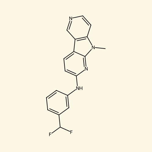 Cn1c2ccncc2c2ccc(Nc3cccc(C(F)F)c3)nc21